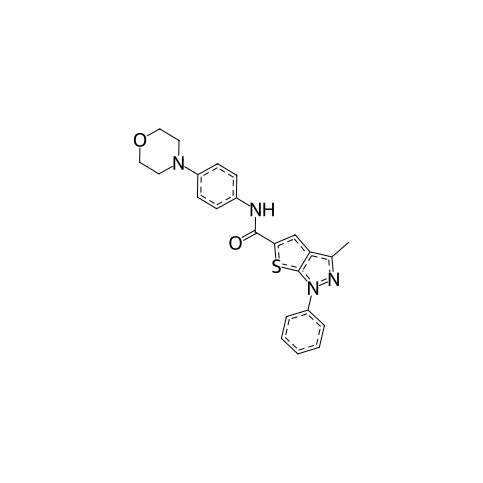 Cc1nn(-c2ccccc2)c2sc(C(=O)Nc3ccc(N4CCOCC4)cc3)cc12